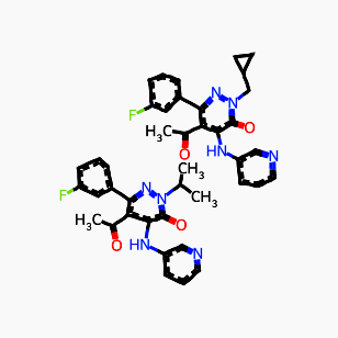 CC(=O)c1c(-c2cccc(F)c2)nn(C(C)C)c(=O)c1Nc1cccnc1.CC(=O)c1c(-c2cccc(F)c2)nn(CC2CC2)c(=O)c1Nc1cccnc1